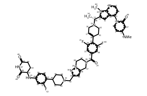 CNc1ccn(-c2ccnc3c2cc([C@@H](C)N2CC=C(c4c(F)cc(C(=O)N5CCn6nc(CN7CCC(c8ccc(NC9CCC(=O)NC9=O)cc8F)CC7)cc6C5)cc4F)CC2)n3C)c(=O)c1